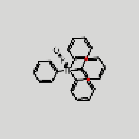 O=[P]#[Ti]([c]1ccccc1)([c]1ccccc1)([c]1ccccc1)[c]1ccccc1